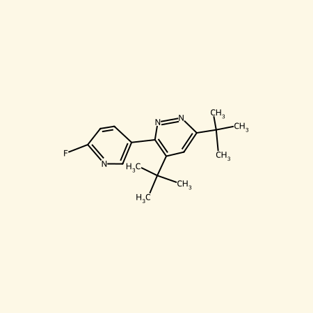 CC(C)(C)c1cc(C(C)(C)C)c(-c2ccc(F)nc2)nn1